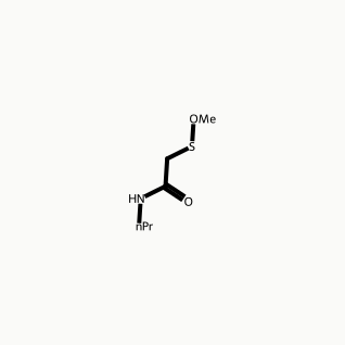 CCCNC(=O)CSOC